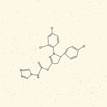 O=C(Nn1cnnc1)OC1=NN(c2ccc(Cl)cc2Cl)C(c2ccc(Cl)cc2)C1